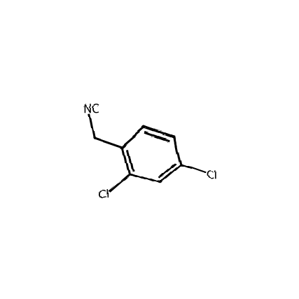 [C-]#[N+]Cc1ccc(Cl)cc1Cl